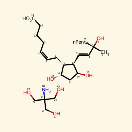 CCCCC[C@](C)(O)/C=C/[C@@H]1[C@@H](C/C=C\CCCC(=O)O)[C@@H](O)C[C@@H]1O.NC(CO)(CO)CO